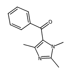 Cc1nc(C)n(C)c1C(=O)c1ccccc1